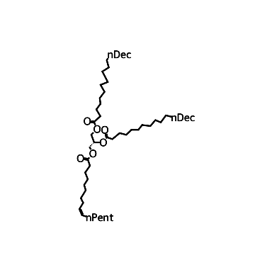 CCCCC/C=C\CCCCCCCC(=O)OC[C@H](COC(=O)CCCCCCCCCCCCCCCCCCCC)OC(=O)CCCCCCCCCCCCCCCCCCCC